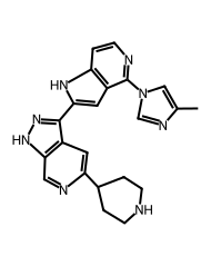 Cc1cn(-c2nccc3[nH]c(-c4n[nH]c5cnc(C6CCNCC6)cc45)cc23)cn1